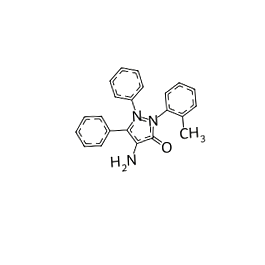 Cc1ccccc1-n1c(=O)c(N)c(-c2ccccc2)n1-c1ccccc1